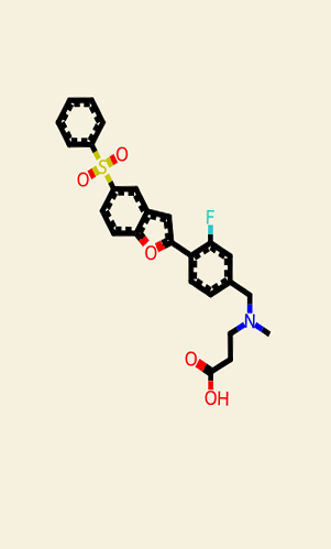 CN(CCC(=O)O)Cc1ccc(-c2cc3cc(S(=O)(=O)c4ccccc4)ccc3o2)c(F)c1